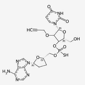 C#CCOC1C(OP(=O)(S)OC[C@@H]2CC[C@H](n3cnc4c(N)ncnc43)O2)[C@@H](CO)O[C@H]1n1ccc(=O)[nH]c1=O